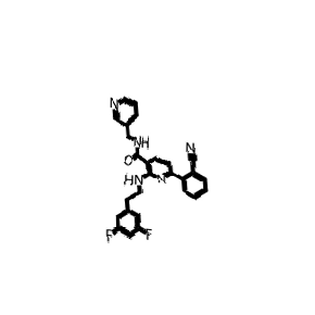 N#Cc1ccccc1-c1ccc(C(=O)NCc2cccnc2)c(NCCc2cc(F)cc(F)c2)n1